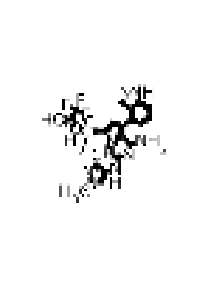 Cc1nn(C)cc1Nc1nc(N)c2c(-c3cccc4[nH]ncc34)cc(C(C)C)n2n1.O=C(O)C(F)(F)F